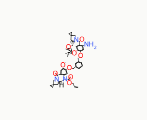 C=CCOC(=O)N1C[C@@H]2CC3(CC3)CN2C(=O)c2cc(OC)c(OCc3cccc(COc4cc(N)c(C(=O)N5CC6(CC6)C[C@H]5CO[Si](C)(C)C(C)(C)C)cc4OC)c3)cc21